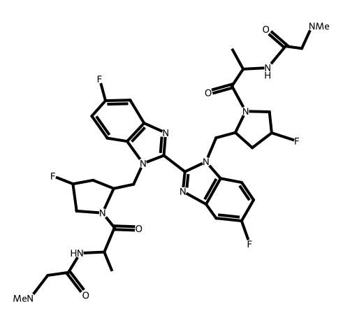 CNCC(=O)NC(C)C(=O)N1CC(F)CC1Cn1c(-c2nc3cc(F)ccc3n2CC2CC(F)CN2C(=O)C(C)NC(=O)CNC)nc2cc(F)ccc21